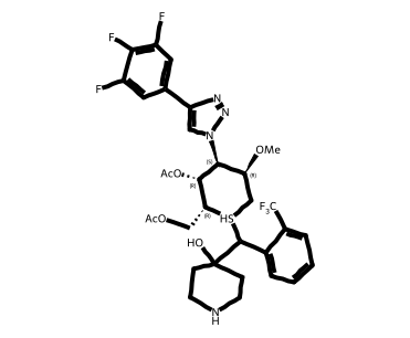 CO[C@H]1C[SH](C(c2ccccc2C(F)(F)F)C2(O)CCNCC2)[C@H](COC(C)=O)[C@H](OC(C)=O)[C@H]1n1cc(-c2cc(F)c(F)c(F)c2)nn1